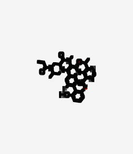 C=CC(=O)N1CC2C(=O)N(C)c3c(c4cc(F)c(-c5c(O)cccc5F)c(Cl)c4n(-c4c(C(C)C)ncnc4C(C)C)c3=O)N2CC1C